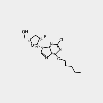 CCCCCOc1nc(Cl)nc2c1ncn2[C@@H]1O[C@H](CO)C[C@@H]1F